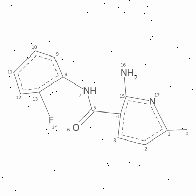 Cc1ccc(C(=O)Nc2ccccc2F)c(N)n1